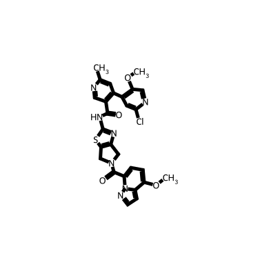 COc1cnc(Cl)cc1-c1cc(C)ncc1C(=O)Nc1nc2c(s1)CN(C(=O)c1ccc(OC)c3ccnn13)C2